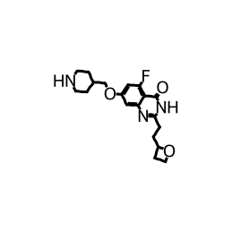 O=c1[nH]c(CCC2CCO2)nc2cc(OCC3CCNCC3)cc(F)c12